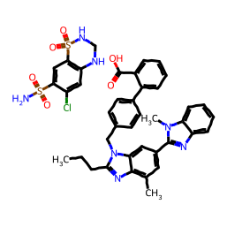 CCCc1nc2c(C)cc(-c3nc4ccccc4n3C)cc2n1Cc1ccc(-c2ccccc2C(=O)O)cc1.NS(=O)(=O)c1cc2c(cc1Cl)NCNS2(=O)=O